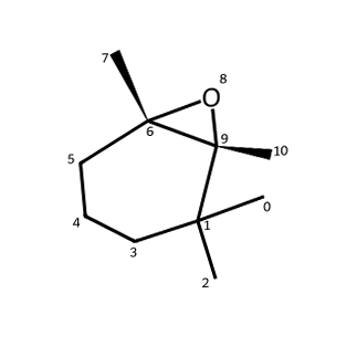 CC1(C)CCC[C@]2(C)O[C@]12C